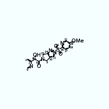 C=NC(=C)[C@H](O)C(=O)N1Cc2cn(S(=O)(=O)c3ccc(OC)cn3)nc2C1